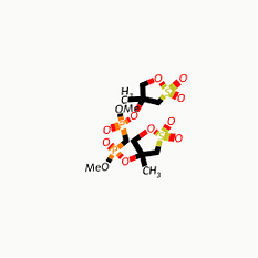 COP(=O)(CP(=O)(OC)OC1(C)COS(=O)(=O)C1)OC1(C)COS(=O)(=O)C1